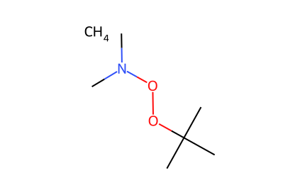 C.CN(C)OOC(C)(C)C